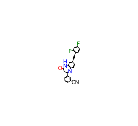 N#Cc1cccc(C2=Nc3ccc(C#Cc4ccc(F)cc4F)cc3NC(=O)C2)c1